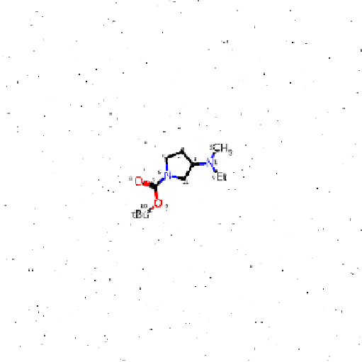 CCN(C)C1CCN(C(=O)OC(C)(C)C)C1